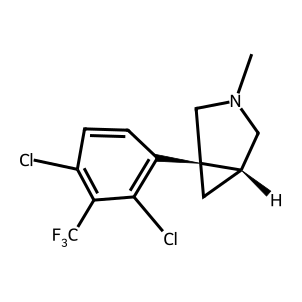 CN1C[C@@H]2C[C@]2(c2ccc(Cl)c(C(F)(F)F)c2Cl)C1